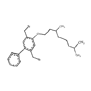 CC(C)CCCC(C)CCOc1cc(CBr)c(-c2ccccc2)cc1CBr